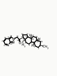 C[C@H]1CC[C@@H]2C3CC[C@@]4(C)C(CC[C@@H]4C(=O)Cn4cc5cccnc5n4)[C@@H]3CC[C@@H]2C1